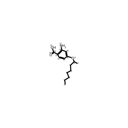 CCCCCCC(C)Oc1ccc(C(=O)O)c(N)c1